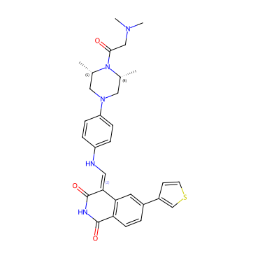 C[C@@H]1CN(c2ccc(N/C=C3\C(=O)NC(=O)c4ccc(-c5ccsc5)cc43)cc2)C[C@H](C)N1C(=O)CN(C)C